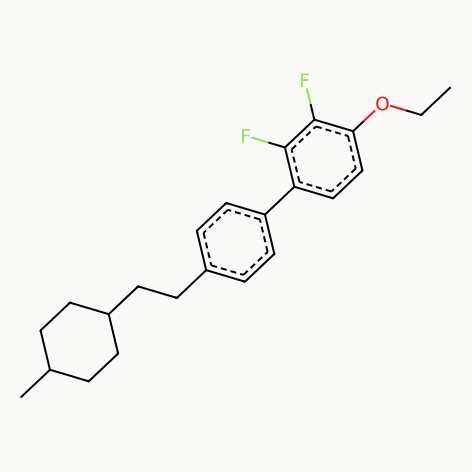 CCOc1ccc(-c2ccc(CCC3CCC(C)CC3)cc2)c(F)c1F